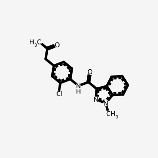 CC(=O)Cc1ccc(NC(=O)c2nn(C)c3ccccc23)c(Cl)c1